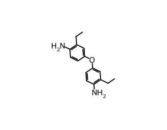 CCc1cc(Oc2ccc(N)c(CC)c2)ccc1N